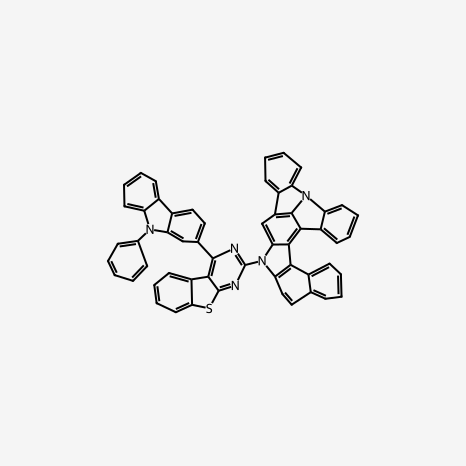 c1ccc(-n2c3ccccc3c3ccc(-c4nc(-n5c6ccc7ccccc7c6c6c7c8ccccc8n8c9ccccc9c(cc65)c78)nc5sc6ccccc6c45)cc32)cc1